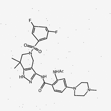 CC(=O)Nc1cc(N2CCN(C)CC2)ccc1C(=O)Nc1n[nH]c2c1CN(S(=O)(=O)c1cc(F)cc(F)c1)CC2(C)C